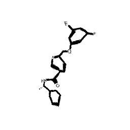 C[C@H](NC(=O)c1ccc(COc2cc(F)cc(F)c2)nc1)C1CCCCC1